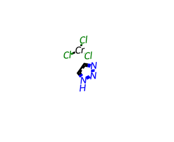 [Cl][Cr]([Cl])[Cl].c1c[nH]nn1